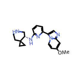 COc1ccn2c(-c3cccc(N[C@H]4CNCCC45CC5)n3)cnc2c1